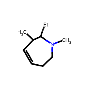 CCC1C(C)C=CCCN1C